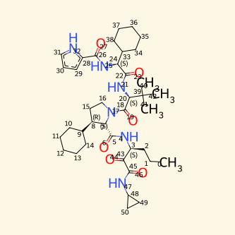 CCC[C@H](NC(=O)[C@@H]1[C@@H](C2CCCCC2)CCN1C(=O)[C@@H](NC(=O)[C@@H](NC(=O)c1ccc[nH]1)C1CCCCC1)C(C)(C)C)C(=O)C(=O)NC1CC1